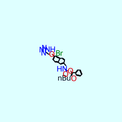 CCCCc1oc2ccccc2c1OC(=O)NCc1ccc2c(Br)c(OCc3nnn[nH]3)ccc2c1